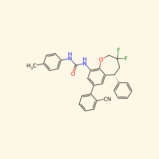 Cc1ccc(NC(=O)Nc2cc(-c3ccccc3C#N)cc3c2OCC(F)(F)C[C@@H]3c2ccccc2)cc1